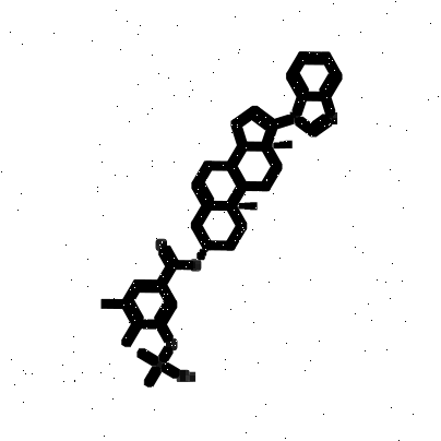 Cc1cc(C(=O)O[C@H]2CC[C@@]3(C)C(=CCC4C3CC[C@]3(C)C(n5cnc6ccccc65)=CCC43)C2)cc(O[Si](C)(C)C(C)(C)C)c1C